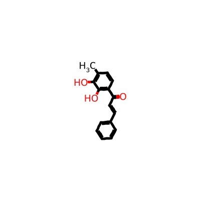 Cc1ccc(C(=O)/C=C/c2ccccc2)c(O)c1O